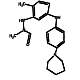 Cc1ccc(Nc2ccc(N3CCCCC3)cc2)cc1NN(C)C=O